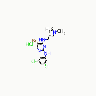 CN(C)CCCNc1nc(Nc2cc(Cl)cc(Cl)c2)ncc1Br.Cl